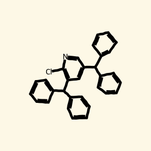 Clc1ncc(C(c2ccccc2)c2ccccc2)cc1C(c1ccccc1)c1ccccc1